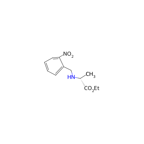 CCOC(=O)[C@@H](C)NCc1ccccc1[N+](=O)[O-]